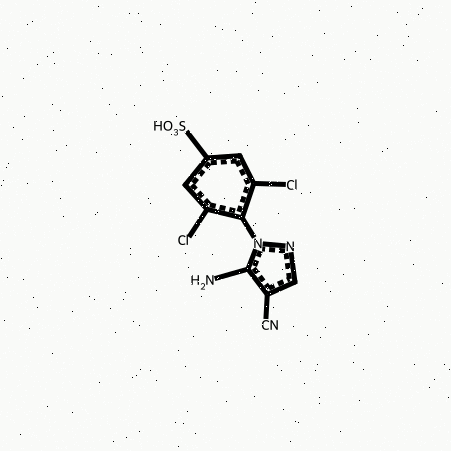 N#Cc1cnn(-c2c(Cl)cc(S(=O)(=O)O)cc2Cl)c1N